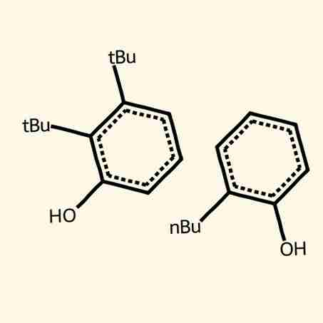 CC(C)(C)c1cccc(O)c1C(C)(C)C.CCCCc1ccccc1O